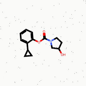 O=C(Oc1ccccc1C1CC1)N1CCC(O)C1